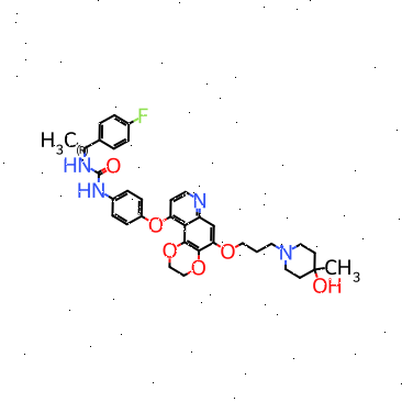 C[C@@H](NC(=O)Nc1ccc(Oc2ccnc3cc(OCCCN4CCC(C)(O)CC4)c4c(c23)OCCO4)cc1)c1ccc(F)cc1